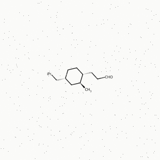 CC(C)C[C@@H]1CC[C@H](CCC=O)[C@@H](C)C1